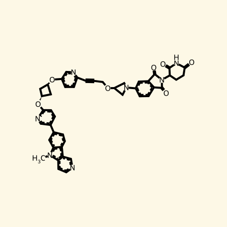 Cn1c2ccncc2c2ccc(-c3ccc(O[C@H]4C[C@H](Oc5ccc(C#CCOC6CN(c7ccc8c(c7)C(=O)N(C7CCC(=O)NC7=O)C8=O)C6)nc5)C4)nc3)cc21